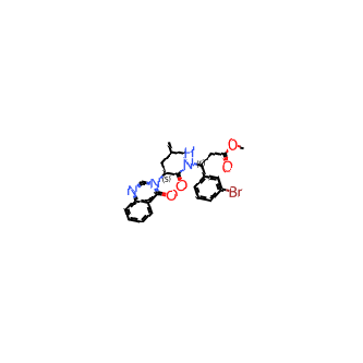 COC(=O)C[C@H](NC(=O)[C@H](CC(C)C)n1cnc2ccccc2c1=O)c1cccc(Br)c1